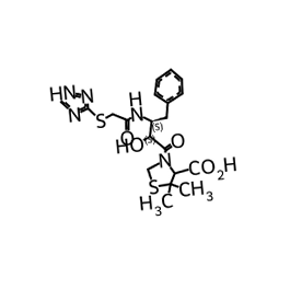 CC1(C)SCN(C(=O)[C@@H](O)[C@H](Cc2ccccc2)NC(=O)CSc2nc[nH]n2)C1C(=O)O